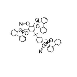 CC(C)(c1ccc(OC#N)c(CP2(=O)Oc3ccccc3-c3ccccc32)c1)c1cc(CP2(=O)Oc3ccccc3-c3ccccc32)c(OC#N)c(CP2(=O)Oc3ccccc3-c3ccccc32)c1